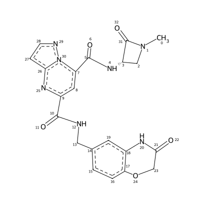 CN1C[C@H](NC(=O)c2cc(C(=O)NCc3ccc4c(c3)NC(=O)CO4)nc3ccnn23)C1=O